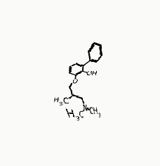 C[C@@H](COc1cccc(-c2ccccc2)c1O)CN(C)C